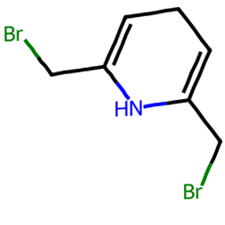 BrCC1=CCC=C(CBr)N1